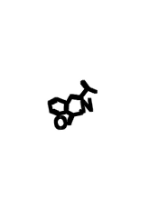 C=C(C)C1=Cc2cccc3occ(c23)C=N1